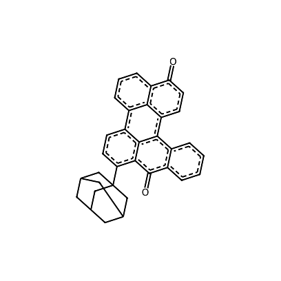 O=c1ccc2c3c1cccc3c1ccc(C34CC5CC(CC(C5)C3)C4)c3c(=O)c4ccccc4c2c31